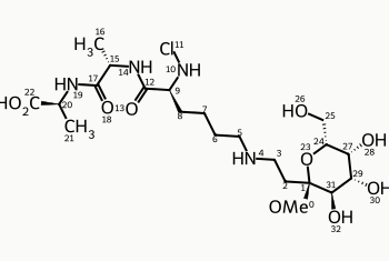 CO[C@@]1(CCNCCCC[C@H](NCl)C(=O)N[C@@H](C)C(=O)N[C@@H](C)C(=O)O)O[C@H](CO)[C@H](O)[C@H](O)[C@H]1O